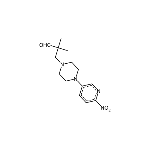 CC(C)(C=O)CN1CCN(c2ccc([N+](=O)[O-])nc2)CC1